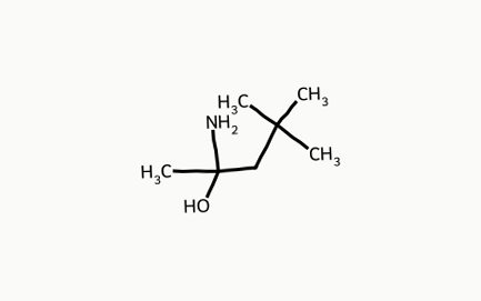 CC(C)(C)CC(C)(N)O